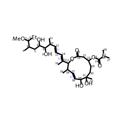 CCC(OC)C(C)CC(O)C(O)C(C)/C=C/C=C(\C)C1OC(=O)CC(OC(=O)N(C)C)CCC(C)(O)C(O)/C=C/C1C